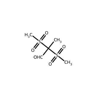 CC([C]=O)(S(C)(=O)=O)S(C)(=O)=O